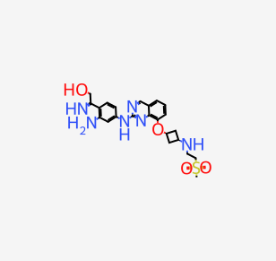 CS(=O)(=O)CCN[C@H]1C[C@@H](Oc2cccc3cnc(Nc4ccc(C(=N)CO)c(N)c4)nc23)C1